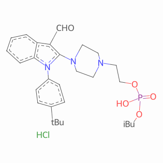 CCC(C)OP(=O)(O)OCCN1CCN(c2c(C=O)c3ccccc3n2-c2ccc(C(C)(C)C)cc2)CC1.Cl